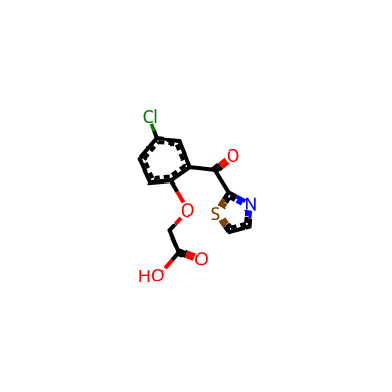 O=C(O)COc1ccc(Cl)cc1C(=O)c1nccs1